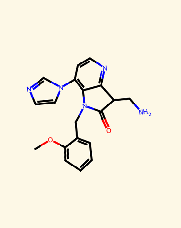 COc1ccccc1CN1C(=O)C(CN)c2nccc(-n3ccnc3)c21